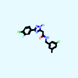 CCn1nc(-c2ccc(Cl)c(F)c2)nc1CC(=O)NCc1cc(C)cc(Cl)c1